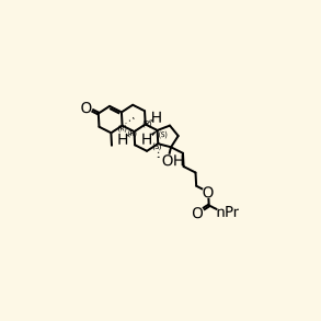 CCCC(=O)OCCCCC1(O)CC[C@H]2[C@@H]3CCC4=CC(=O)CC(C)[C@]4(C)[C@@H]3CC[C@@]21C